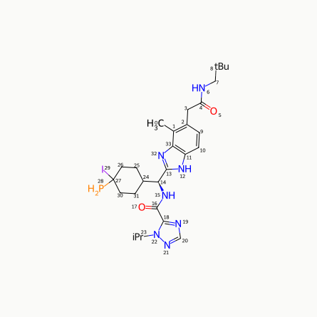 Cc1c(CC(=O)NCC(C)(C)C)ccc2[nH]c([C@@H](NC(=O)c3ncnn3C(C)C)C3CCC(P)(I)CC3)nc12